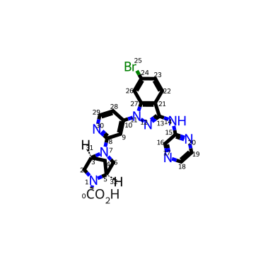 O=C(O)N1C[C@@H]2C[C@H]1CN2c1cc(-n2nc(Nc3cnccn3)c3ccc(Br)cc32)ccn1